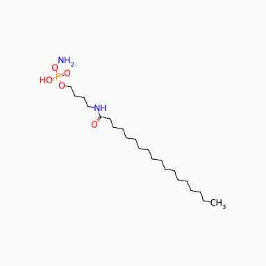 CCCCCCCCCCCCCCCCCC(=O)NCCCCOP(=O)(O)ON